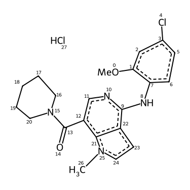 COc1cc(Cl)ccc1Nc1ncc(C(=O)N2CCCCC2)c2c1ccn2C.Cl